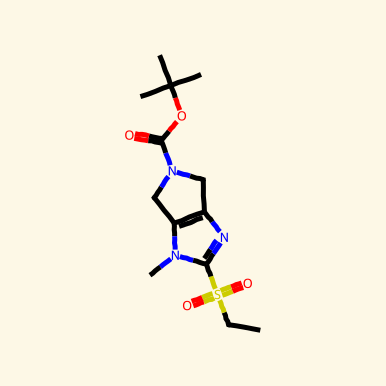 CCS(=O)(=O)c1nc2c(n1C)CN(C(=O)OC(C)(C)C)C2